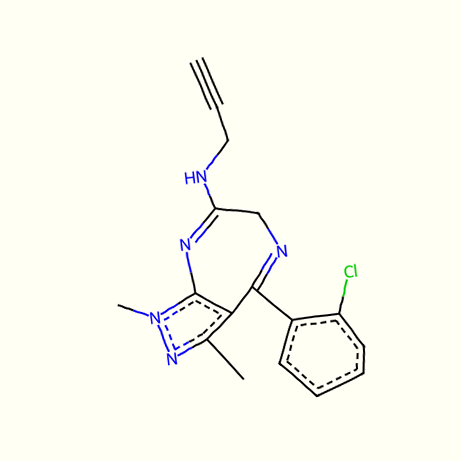 C#CCNC1=Nc2c(c(C)nn2C)C(c2ccccc2Cl)=NC1